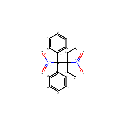 CCC(CC)([N+](=O)[O-])C(c1ccccc1)(c1ccccc1)[N+](=O)[O-]